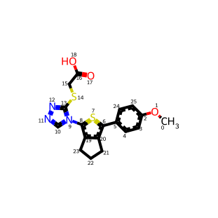 COc1ccc(-c2sc(-n3cnnc3SCC(=O)O)c3c2CCC3)cc1